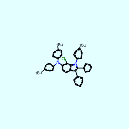 CC(C)(C)c1ccc(N(c2ccc(C(C)(C)C)cc2)c2ccc3c(-c4ccccc4)c(-c4ccccc4)n(-c4ccc(C(C)(C)C)cc4)c3c2Cl)cc1